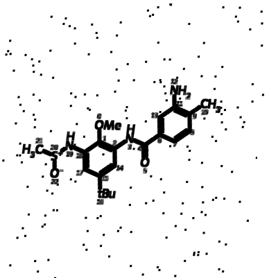 COc1c(NC(=O)c2ccc(C)c(N)c2)cc(C(C)(C)C)cc1N[S+](C)[O-]